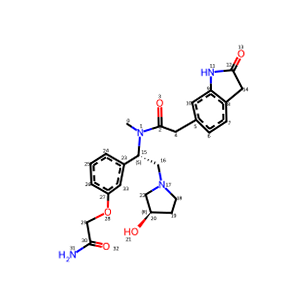 CN(C(=O)Cc1ccc2c(c1)NC(=O)C2)[C@H](CN1CC[C@@H](O)C1)c1cccc(OCC(N)=O)c1